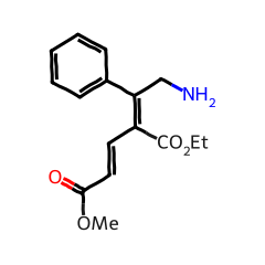 CCOC(=O)C(/C=C/C(=O)OC)=C(\CN)c1ccccc1